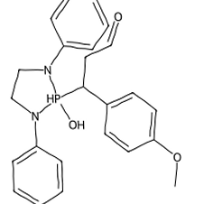 COc1ccc(C(CC=O)[PH]2(O)N(c3ccccc3)CCN2c2ccccc2)cc1